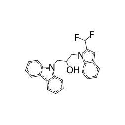 OC(Cn1c(C(F)F)cc2ccccc21)Cn1c2ccccc2c2ccccc21